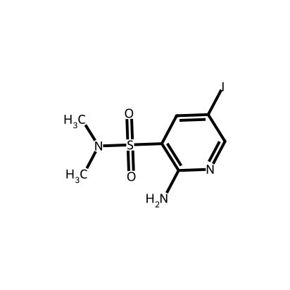 CN(C)S(=O)(=O)c1cc(I)cnc1N